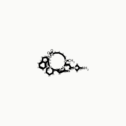 CN1CCCCS(=O)(=O)NC2(CCc3ccccc32)C(=O)N2CCCCC2c2cc3nc(N4CC(N)C4)cc1n3n2